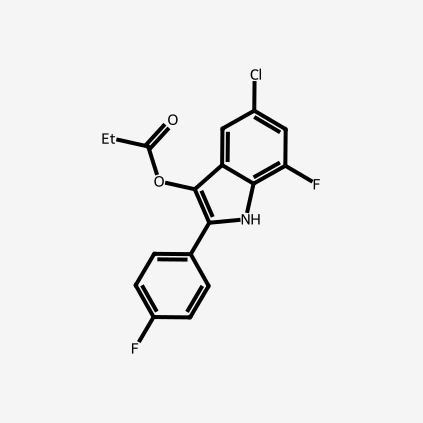 CCC(=O)Oc1c(-c2ccc(F)cc2)[nH]c2c(F)cc(Cl)cc12